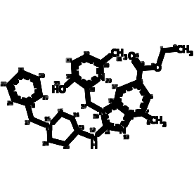 CCOC(=O)c1cc(C)c2nc(NC3CCN(Cc4ccccc4)CC3)n(Cc3nc(C)ccc3O)c2c1